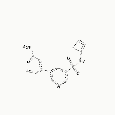 CC(=O)Nc1cc(-c2cncc(S(=O)(=O)NC3=C=CC3)c2)ccn1